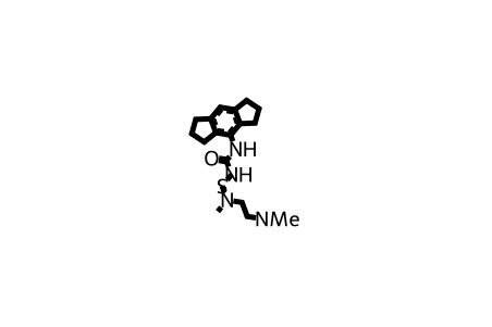 CNCCN(C)SNC(=O)Nc1c2c(cc3c1CCC3)CCC2